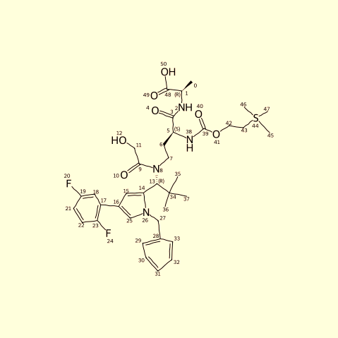 C[C@@H](NC(=O)[C@H](CCN(C(=O)CO)[C@@H](c1cc(-c2cc(F)ccc2F)cn1Cc1ccccc1)C(C)(C)C)NC(=O)OCCS(C)(C)C)C(=O)O